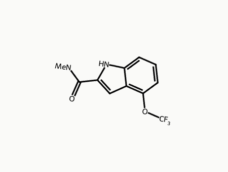 CNC(=O)c1cc2c(OC(F)(F)F)cccc2[nH]1